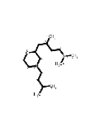 CC(C)CCN1CCOC(CC(C)CCN(C)C)C1